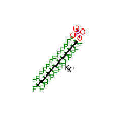 O=P([O-])([O-])OC(F)(F)C(F)(F)C(F)(F)C(F)(F)C(F)(F)C(F)(F)C(F)(F)C(F)(F)C(F)(F)C(F)(F)C(F)(F)C(F)(F)F.[K+].[K+]